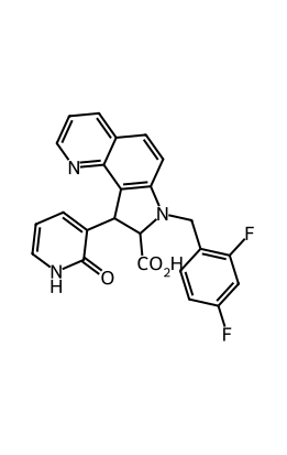 O=C(O)C1C(c2ccc[nH]c2=O)c2c(ccc3cccnc23)N1Cc1ccc(F)cc1F